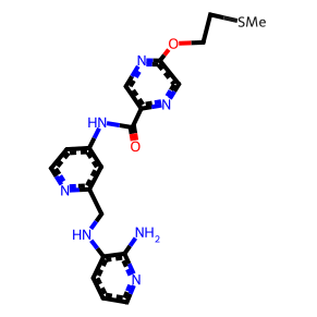 CSCCOc1cnc(C(=O)Nc2ccnc(CNc3cccnc3N)c2)cn1